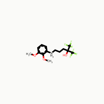 COc1cccc([SiH2]CCCC(O)(C(F)(F)F)C(F)(F)F)c1OC